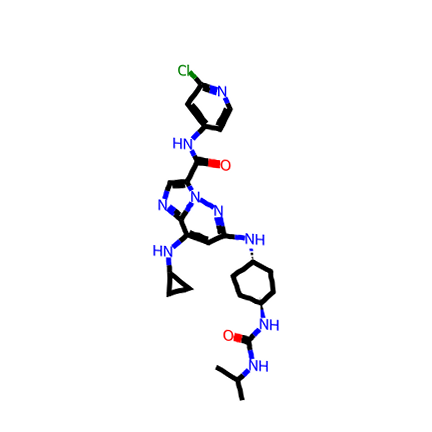 CC(C)NC(=O)N[C@H]1CC[C@H](Nc2cc(NC3CC3)c3ncc(C(=O)Nc4ccnc(Cl)c4)n3n2)CC1